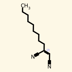 CCCCCCCCC/C(C#N)=C/C#N